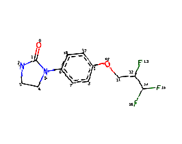 O=C1[N]CCN1c1ccc(OCC(F)C(F)F)cc1